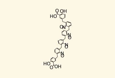 O=Nc1c(Cc2ccc(O)c(C(=O)O)c2)cccc1Cc1cccc(Cc2cccc(Cc3cccc(Cc4ccc(O)c(C(=O)O)c4)c3N=O)c2N=O)c1N=O